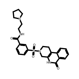 O=C(NCCN1CCCC1)c1cccc(S(=O)(=O)N2CCc3c([nH]c(=O)c4ccccc34)C2)c1